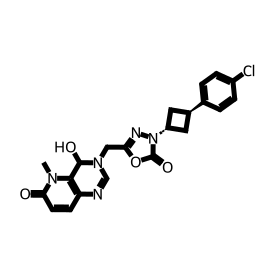 Cn1c2c(ccc1=O)N=CN(Cc1nn([C@H]3C[C@H](c4ccc(Cl)cc4)C3)c(=O)o1)C2O